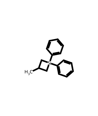 CC1C[Si](c2ccccc2)(c2ccccc2)C1